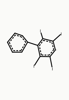 Ic1[c]c(I)c(I)c(-c2ccccc2)c1I